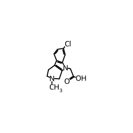 CN1CCc2c(n(CC(=O)O)c3cc(Cl)ccc23)C1